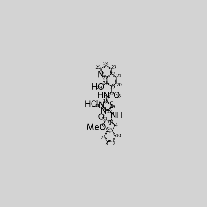 COC(=O)[C@H](Cc1ccccc1)Nc1nnc(NC(=O)c2ccc3cccnc3c2O)s1.Cl